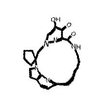 O=C1NCCCCCc2ccc3ccn(c3n2)C2(CCCC2)Cn2cc(O)c(=O)c1n2